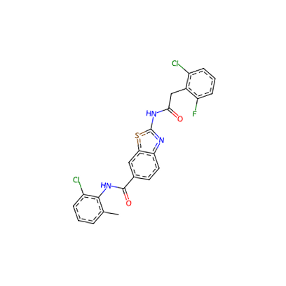 Cc1cccc(Cl)c1NC(=O)c1ccc2nc(NC(=O)Cc3c(F)cccc3Cl)sc2c1